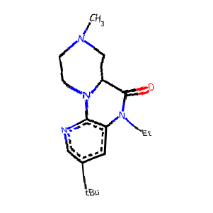 CCN1C(=O)C2CN(C)CCN2c2ncc(C(C)(C)C)cc21